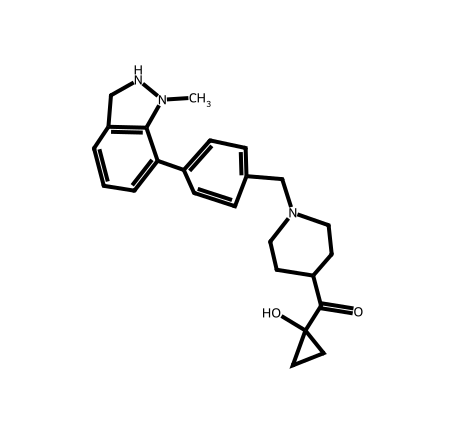 CN1NCc2cccc(-c3ccc(CN4CCC(C(=O)C5(O)CC5)CC4)cc3)c21